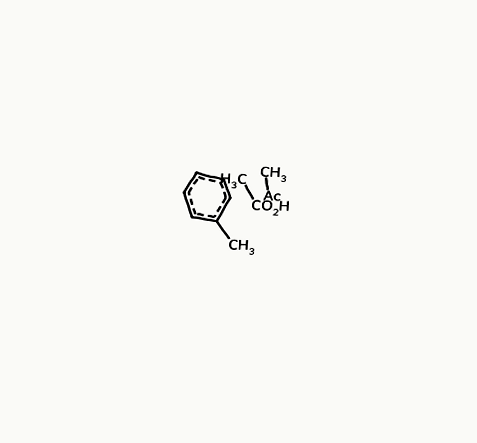 CC(=O)O.CC(C)=O.Cc1ccccc1